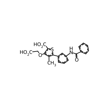 Cc1c(-c2cccc(NC(=O)c3ccccc3)c2)sc(C(=O)O)c1OCC(=O)O